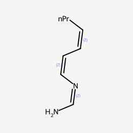 CCC\C=C/C=C\N=C/N